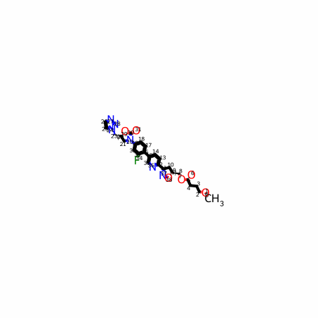 COCCCC(=O)OC[C@@H]1CC(c2ccc(-c3ccc(N4C[C@H](Cn5ccnn5)OC4=O)cc3F)cn2)=NO1